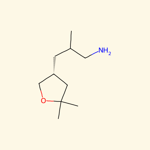 CC(CN)C[C@H]1COC(C)(C)C1